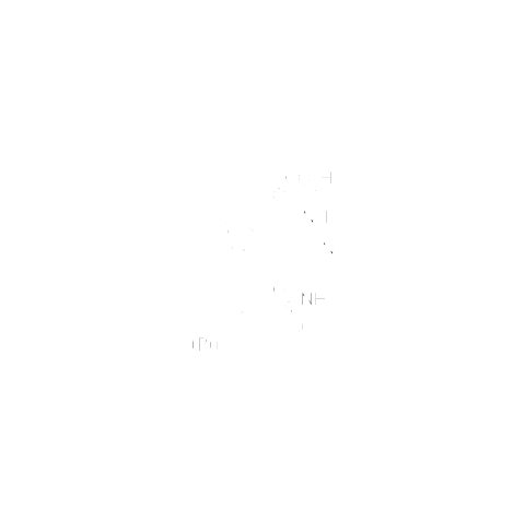 CC(C)(C)c1ccc(S(=O)(=O)Nc2cnc3[nH]c(OC(=O)O)c(-c4ccsc4)c3c2)cc1